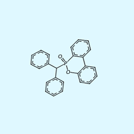 O=P1(C(c2ccccc2)c2ccccc2)Oc2ccccc2-c2ccccc21